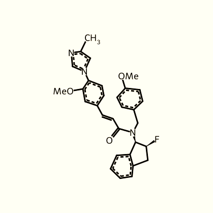 COc1ccc(CN(C(=O)/C=C/c2ccc(-n3cnc(C)c3)c(OC)c2)[C@@H]2c3ccccc3C[C@@H]2F)cc1